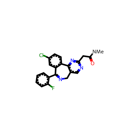 CNC(=O)Cc1ncc2c(n1)-c1ccc(Cl)cc1C(c1ccccc1F)=NC2